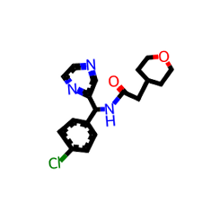 O=C(CC1CCOCC1)NC(c1ccc(Cl)cc1)c1cnccn1